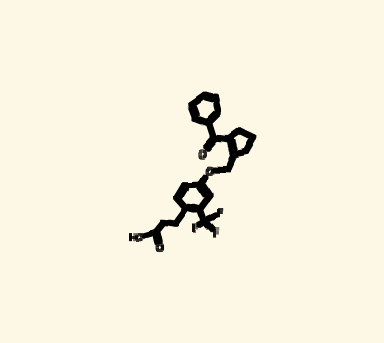 O=C(O)CCc1ccc(OCC2=C(C(=O)c3ccccc3)CCC2)cc1C(F)(F)F